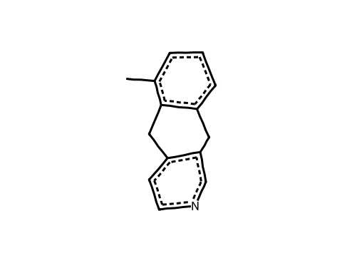 Cc1cccc2c1Cc1ccncc1C2